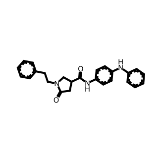 O=C(Nc1ccc(Nc2ccccc2)cc1)C1CC(=O)N(CCc2ccccc2)C1